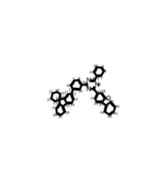 c1ccc(-c2nc(-c3cccc(-c4ccc5c(c4)C4(CCCCC4)c4ccccc4-5)c3)nc(-c3ccc4c(c3)oc3ccccc34)n2)cc1